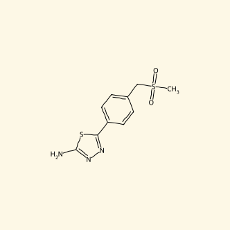 CS(=O)(=O)Cc1ccc(-c2nnc(N)s2)cc1